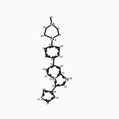 CN1CCN(c2ccc(-c3ccn4c(-c5ccsc5)cnc4c3)cc2)CC1